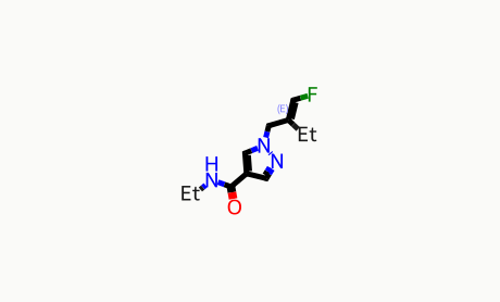 CCNC(=O)c1cnn(C/C(=C/F)CC)c1